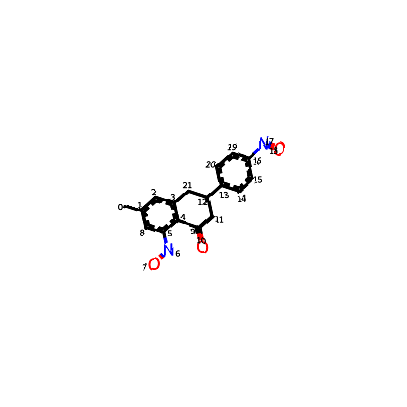 Cc1cc2c(c(N=O)c1)C(=O)CC(c1ccc(N=O)cc1)C2